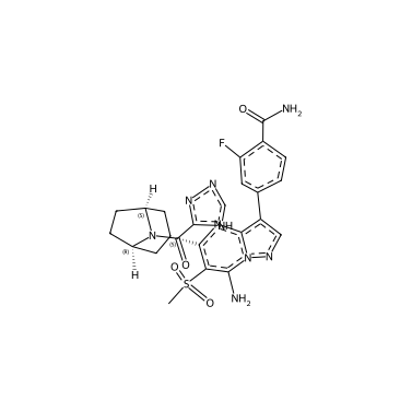 CS(=O)(=O)c1c([C@@H]2C[C@H]3CC[C@@H](C2)N3C(=O)c2nnc[nH]2)nc2c(-c3ccc(C(N)=O)c(F)c3)cnn2c1N